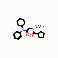 CNN(CC(=O)N(c1ccccc1)C1CCCCC1)C(=O)C1CCCC1